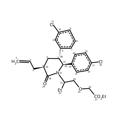 C=CC[C@H]1C[C@H](c2cccc(Cl)c2)[C@@H](c2ccc(Cl)cc2)N(C(CC)COCC(=O)OCC)C1=O